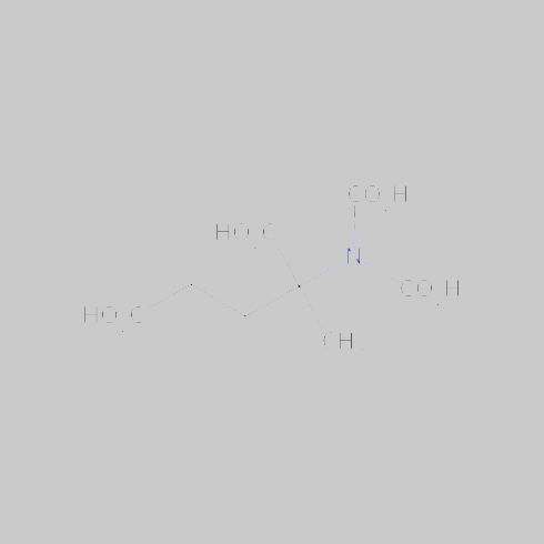 CC(CCC(=O)O)(C(=O)O)N(C(=O)O)C(=O)O